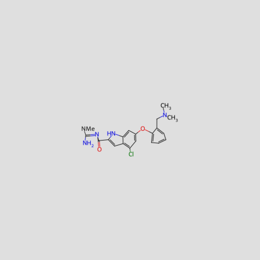 CNC(N)=NC(=O)c1cc2c(Cl)cc(Oc3ccccc3CN(C)C)cc2[nH]1